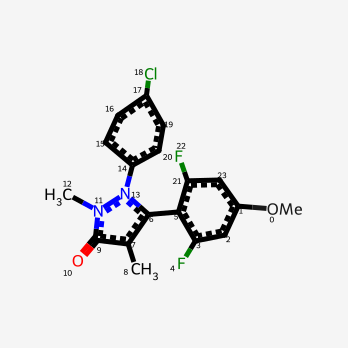 COc1cc(F)c(-c2c(C)c(=O)n(C)n2-c2ccc(Cl)cc2)c(F)c1